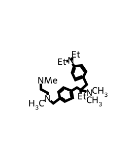 CCN(CC)c1ccc(CC(CC)(Cc2ccc(CN(C)CCNC)cc2)N(C)C)cc1